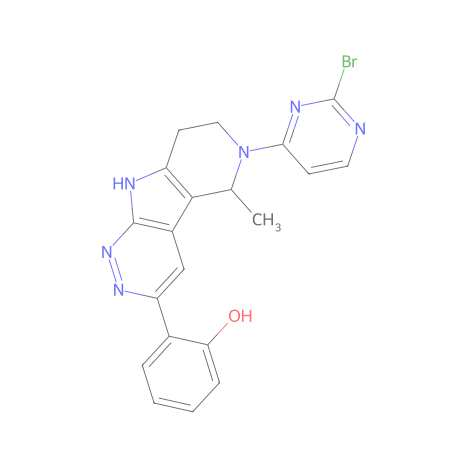 CC1c2c([nH]c3nnc(-c4ccccc4O)cc23)CCN1c1ccnc(Br)n1